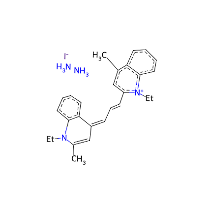 CCN1C(C)=C/C(=C/C=C/c2cc(C)c3ccccc3[n+]2CC)c2ccccc21.N.N.[I-]